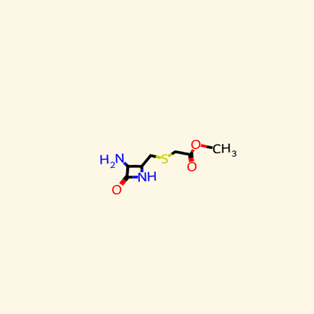 COC(=O)CSCC1NC(=O)C1N